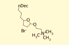 CCCCCCCCCCCCCC1CCC(OCC[N+](C)(C)C)O1.[Br-]